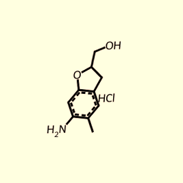 Cc1cc2c(cc1N)OC(CO)C2.Cl